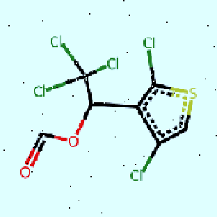 O=COC(c1c(Cl)csc1Cl)C(Cl)(Cl)Cl